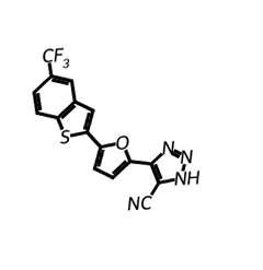 N#Cc1[nH]nnc1-c1ccc(-c2cc3cc(C(F)(F)F)ccc3s2)o1